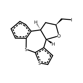 IC[C@@H]1C[C@@H]2c3ccccc3Sc3sccc3[C@H]2O1